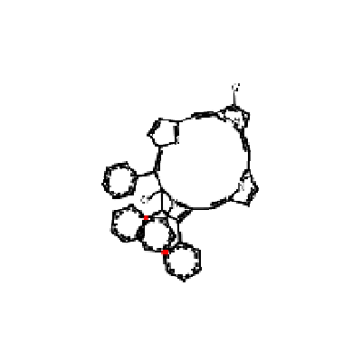 Clc1cc2[nH]c1=CC1=NC(=C(c3ccccc3)C3(Cl)C(c4ccccc4)C(c4ccccc4)=C(C=C4C=CC(=N4)C=2)N3c2ccccc2)C=C1